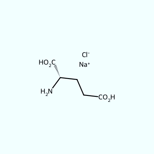 N[C@@H](CCC(=O)O)C(=O)O.[Cl-].[Na+]